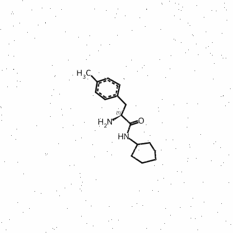 Cc1ccc(C[C@H](N)C(=O)NC2CCCCC2)cc1